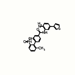 Cc1cccc([PH](=O)O)c1-c1ccc(C(=O)Nc2cc(-c3ccsc3)ccc2N)cc1